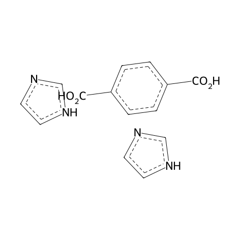 O=C(O)c1ccc(C(=O)O)cc1.c1c[nH]cn1.c1c[nH]cn1